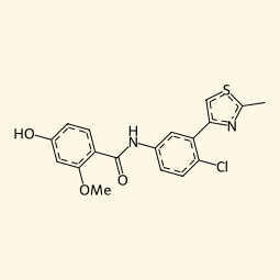 COc1cc(O)ccc1C(=O)Nc1ccc(Cl)c(-c2csc(C)n2)c1